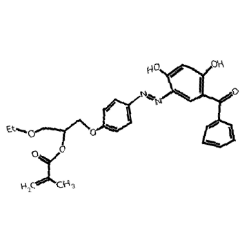 C=C(C)C(=O)OC(COCC)COc1ccc(N=Nc2cc(C(=O)c3ccccc3)c(O)cc2O)cc1